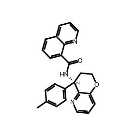 Cc1ccc([C@@]2(NC(=O)c3cccc4cccnc34)CCOc3cccnc32)cc1